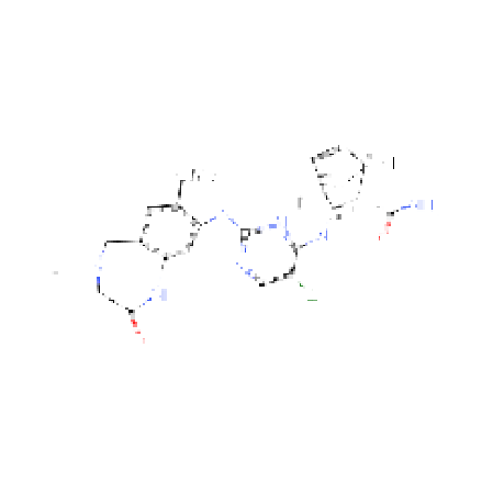 CCN1CC(=O)Nc2cc(Nc3ncc(Cl)c(N[C@H]4[C@@H](C(N)=O)[C@@H]5C=C[C@H]4C5)n3)c(OC)cc2C1